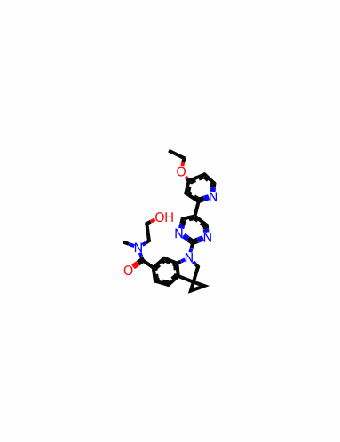 CCOc1ccnc(-c2cnc(N3CC4(CC4)c4ccc(C(=O)N(C)CCO)cc43)nc2)c1